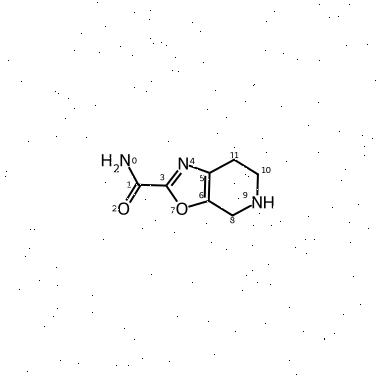 NC(=O)c1nc2c(o1)CNCC2